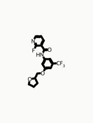 O=C(Nc1cc(OCC2CCCO2)cc(C(F)(F)F)c1)c1cccnc1F